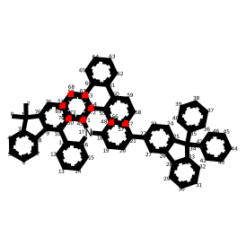 CC1(C)c2ccccc2-c2c(-c3ccccc3N(c3ccc(-c4ccc5c(c4)-c4ccccc4C5(c4ccccc4)c4ccccc4)cc3)c3ccccc3-c3ccccc3-c3ccccc3-c3ccccc3)cccc21